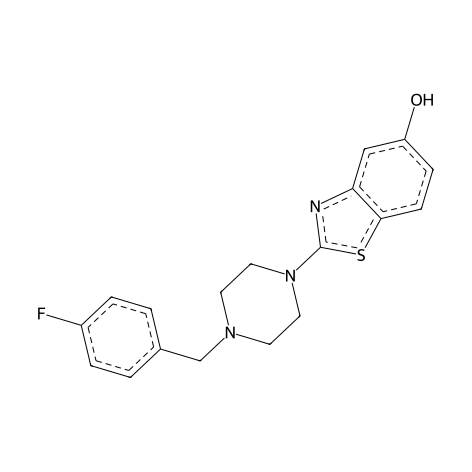 Oc1ccc2sc(N3CCN(Cc4ccc(F)cc4)CC3)nc2c1